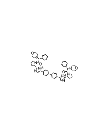 O=C(C(c1ccccc1)N1CCOCC1)N1CCCC1c1ncc(-c2ccc(-c3ccc(-c4cnc(C5CCCN5C(=O)C(c5ccccc5)N5CCOCC5)[nH]4)cc3)cc2)[nH]1